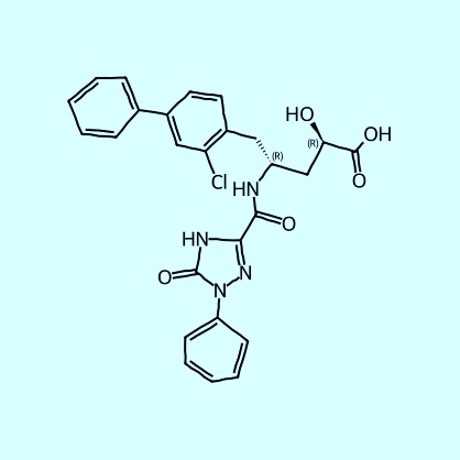 O=C(N[C@H](Cc1ccc(-c2ccccc2)cc1Cl)C[C@@H](O)C(=O)O)c1nn(-c2ccccc2)c(=O)[nH]1